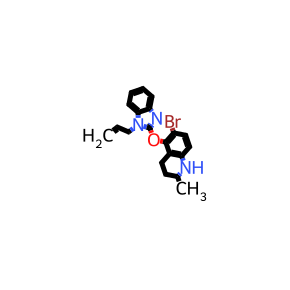 C=CCn1c(Oc2c(Br)ccc3c2CCC(C)N3)nc2ccccc21